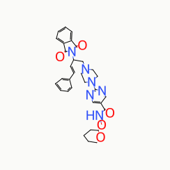 O=C(NOC1CCCCO1)c1cnc(N2CCN(CC(/C=C/c3ccccc3)N3C(=O)c4ccccc4C3=O)CC2)nc1